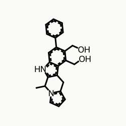 CC1c2[nH]c3cc(-c4ccccc4)c(CO)c(CO)c3c2Cc2cccn21